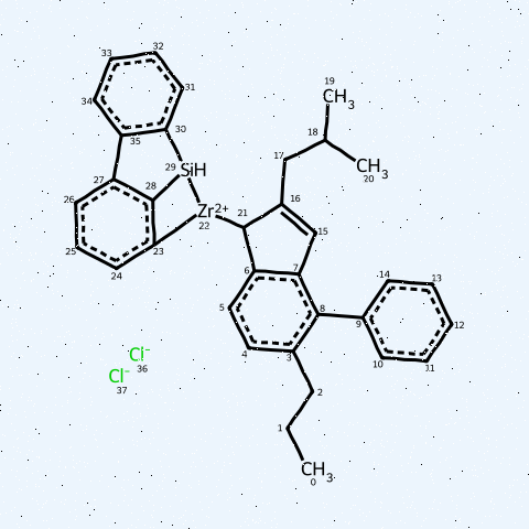 CCCc1ccc2c(c1-c1ccccc1)C=C(CC(C)C)[CH]2[Zr+2]1[c]2cccc3c2[SiH]1c1ccccc1-3.[Cl-].[Cl-]